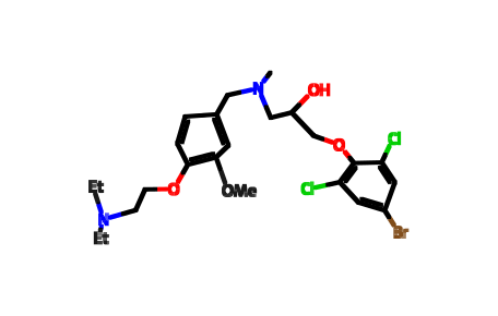 CCN(CC)CCOc1ccc(CN(C)CC(O)COc2c(Cl)cc(Br)cc2Cl)cc1OC